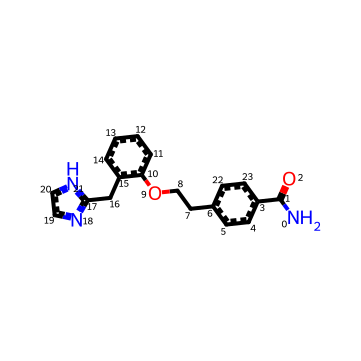 NC(=O)c1ccc(CCOc2ccccc2Cc2ncc[nH]2)cc1